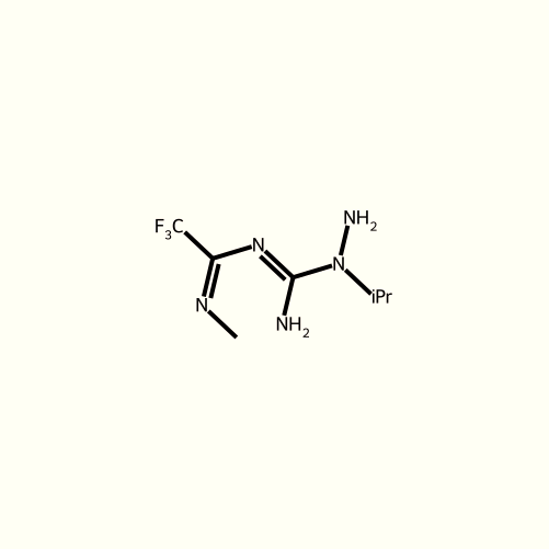 C/N=C(\N=C(/N)N(N)C(C)C)C(F)(F)F